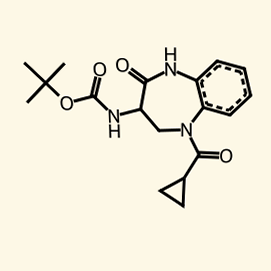 CC(C)(C)OC(=O)NC1CN(C(=O)C2CC2)c2ccccc2NC1=O